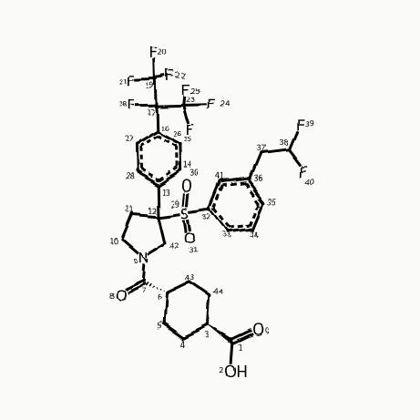 O=C(O)[C@H]1CC[C@H](C(=O)N2CCC(c3ccc(C(F)(C(F)(F)F)C(F)(F)F)cc3)(S(=O)(=O)c3cccc(CC(F)F)c3)C2)CC1